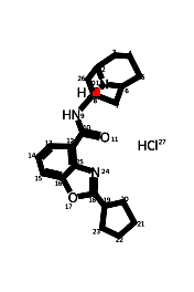 CN1C2CCCC1CC(NC(=O)c1cccc3oc(C4CCCC4)nc13)C2.Cl